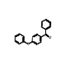 O=C(c1ccccc1)c1ccc(Sc2cc[c]cc2)cc1